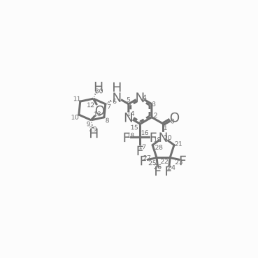 O=C(c1cnc(N[C@@H]2C[C@H]3CC[C@@H]2O3)nc1C(F)(F)F)N1CC(F)(F)C(F)(F)C1